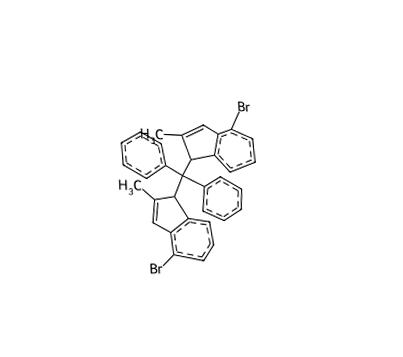 CC1=Cc2c(Br)cccc2C1C(c1ccccc1)(c1ccccc1)C1C(C)=Cc2c(Br)cccc21